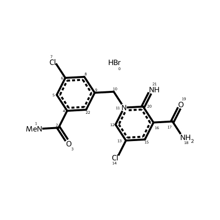 Br.CNC(=O)c1cc(Cl)cc(Cn2cc(Cl)cc(C(N)=O)c2=N)c1